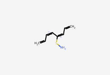 C=C/C=C\C(=C/C=C)SN